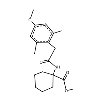 COC(=O)C1(NC(=O)Cc2c(C)cc(OC)cc2C)CCCCC1